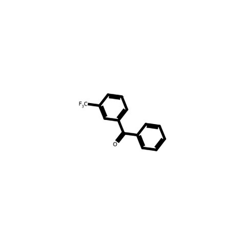 O=C(c1ccccc1)c1c[c]cc(C(F)(F)F)c1